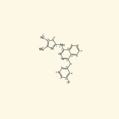 CC(C)(C)c1nc(Nc2nnc(Cc3cncc(F)c3)c3ccccc23)sc1C#N